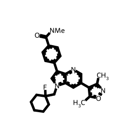 CNC(=O)c1ccc(-c2cn(CC3(F)CCCCC3)c3cc(-c4c(C)noc4C)cnc23)cc1